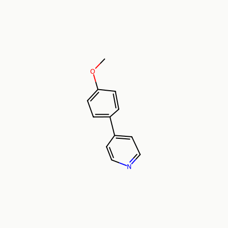 COc1ccc(-c2ccncc2)cc1